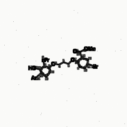 CCCc1c(OCCCOc2ccc(Br)cc2C(=O)OC)ccc(C(C)=O)c1O